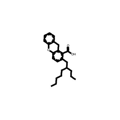 CCCCCC(CCC)Cc1ccc2c(c1C(=O)O)Cc1ccccc1O2